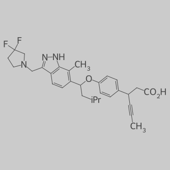 CC#CC(CC(=O)O)c1ccc(OC(CC(C)C)c2ccc3c(CN4CCC(F)(F)C4)n[nH]c3c2C)cc1